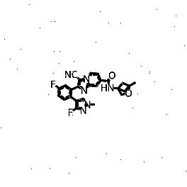 Cn1cc(-c2ccc(F)cc2-c2nc3cc(C(=O)NC45COC(C)(C4)C5)ccn3c2C#N)c(F)n1